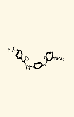 CC(=O)Nc1cc(Sc2ccc(NC(=O)Cc3ccc(C(F)(F)F)cc3)cc2)ncn1